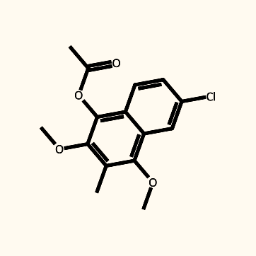 COc1c(C)c(OC)c2cc(Cl)ccc2c1OC(C)=O